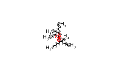 CCCCCC(OOC(=O)OC(CCCCC)C(CC)CCCC)C(CC)CCCC